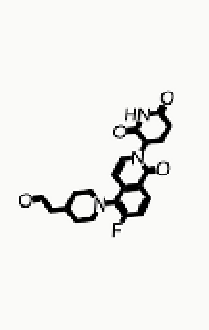 O=CCC1CCN(c2c(F)ccc3c(=O)n(C4CCC(=O)NC4=O)ccc23)CC1